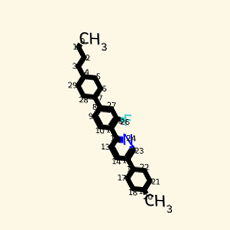 CCCCC1CCC(c2ccc(-c3ccc(C4CCC(C)CC4)cn3)c(F)c2)CC1